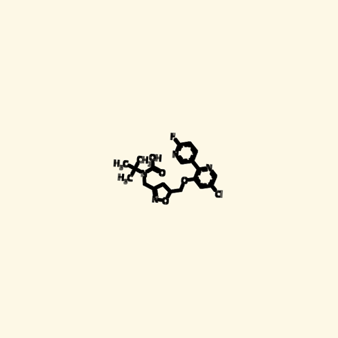 CC(C)(C)N(CC1=NOC(COc2cc(Cl)cnc2-c2ccc(F)nc2)C1)C(=O)O